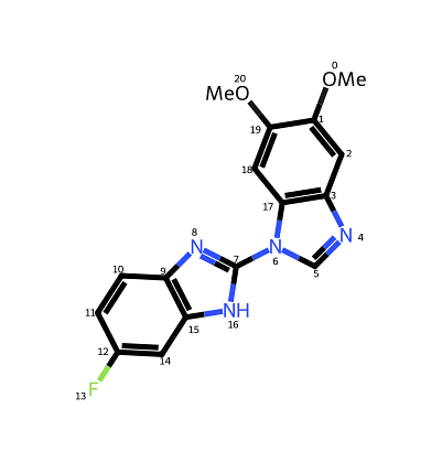 COc1cc2ncn(-c3nc4ccc(F)cc4[nH]3)c2cc1OC